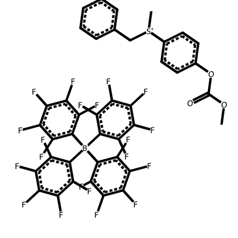 COC(=O)Oc1ccc([S+](C)Cc2ccccc2)cc1.Fc1c(F)c(F)c([B-](c2c(F)c(F)c(F)c(F)c2F)(c2c(F)c(F)c(F)c(F)c2F)c2c(F)c(F)c(F)c(F)c2F)c(F)c1F